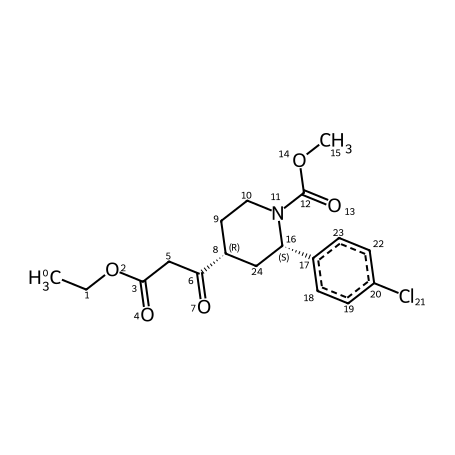 CCOC(=O)CC(=O)[C@@H]1CCN(C(=O)OC)[C@H](c2ccc(Cl)cc2)C1